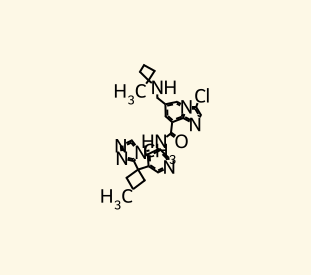 CC1CC(c2cncc(NC(=O)c3cc(CNC4(C)CCC4)cn4c(Cl)cnc34)c2)(c2nncn2C)C1